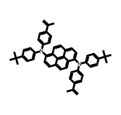 C=C(C)c1ccc(N(c2ccc(C(C)(C)C)cc2)c2ccc3ccc4c(N(c5ccc(C(=C)C)cc5)c5ccc(C(C)(C)C)cc5)ccc5ccc2c3c54)cc1